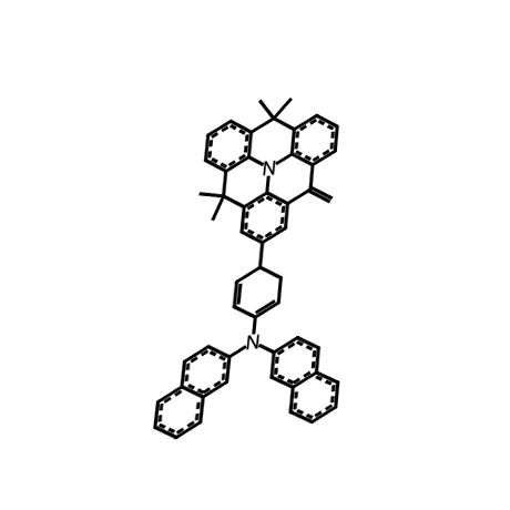 C=C1c2cccc3c2N2c4c1cc(C1C=CC(N(c5ccc6ccccc6c5)c5ccc6ccccc6c5)=CC1)cc4C(C)(C)c1cccc(c12)C3(C)C